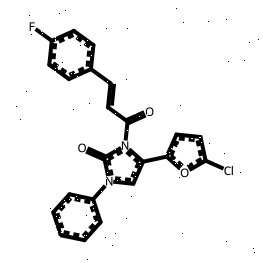 O=C(C=Cc1ccc(F)cc1)n1c(-c2ccc(Cl)o2)cn(-c2ccccc2)c1=O